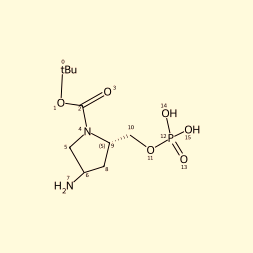 CC(C)(C)OC(=O)N1CC(N)C[C@H]1COP(=O)(O)O